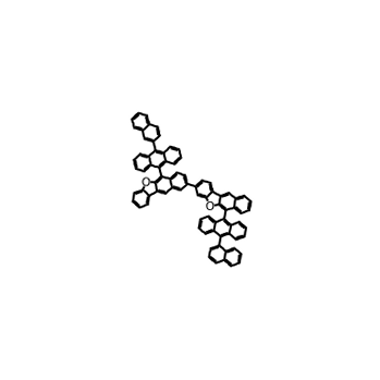 c1ccc2cc(-c3c4ccccc4c(-c4c5ccc(-c6ccc7c(c6)oc6c(-c8c9ccccc9c(-c9cccc%10ccccc9%10)c9ccccc89)c8ccccc8cc67)cc5cc5c4oc4ccccc45)c4ccccc34)ccc2c1